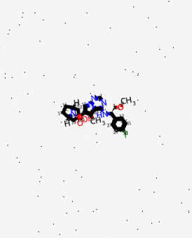 COC[C@@H](Nc1ncnn2cc(C(=O)N3[C@@H]4CC[C@H]3C[C@@H](O)C4)c(C)c12)c1ccc(F)cc1